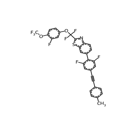 Cc1ccc(C#Cc2cc(F)c(-c3ccc4nc(C(F)(F)Oc5ccc(OC(F)(F)F)c(F)c5)sc4c3)c(F)c2)cc1